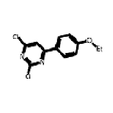 CCOc1ccc(-c2cc(Cl)nc(Cl)n2)cc1